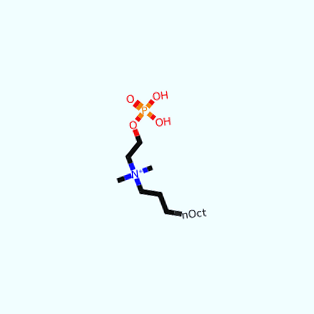 CCCCCCCCCCC[N+](C)(C)CCOP(=O)(O)O